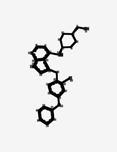 OC[C@H]1CC[C@@H](Nc2ccnc3[nH]cc(Cc4ccc(Oc5ccccc5)cc4Cl)c23)CC1